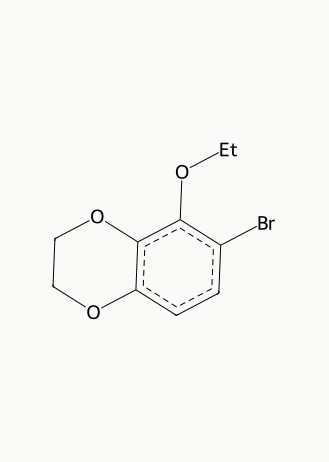 CCOc1c(Br)ccc2c1OCCO2